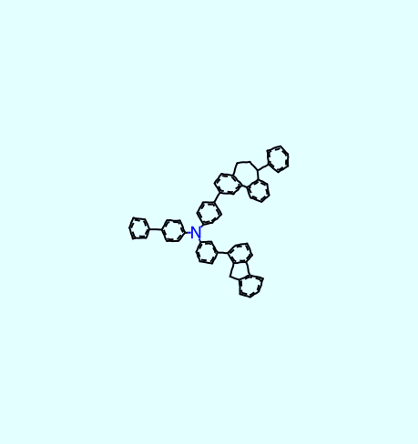 c1ccc(-c2ccc(N(c3ccc(-c4ccc5c(c4)-c4ccccc4C(c4ccccc4)CC5)cc3)c3cccc(-c4cccc5c4Cc4ccccc4-5)c3)cc2)cc1